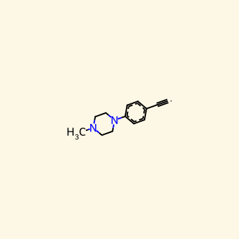 [C]#Cc1ccc(N2CCN(C)CC2)cc1